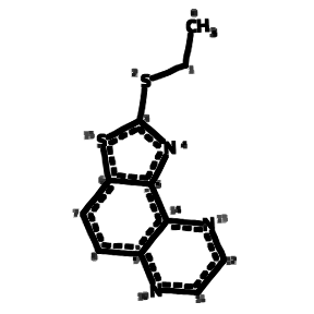 CCSc1nc2c(ccc3nccnc32)s1